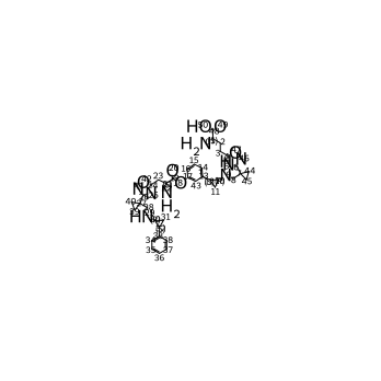 N[C@@H](CCc1nc(C2(CN[C@@H]3C[C@H]3c3cccc(OC(=O)[C@@H](N)Cc4nc(C5(CN[C@@H]6C[C@H]6c6ccccc6)CC5)no4)c3)CC2)no1)C(=O)O